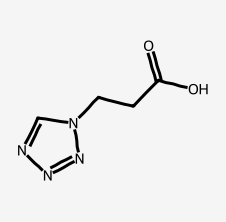 O=C(O)CCn1cnnn1